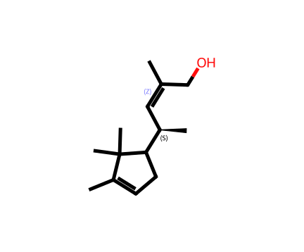 CC1=CCC([C@H](C)/C=C(/C)CO)C1(C)C